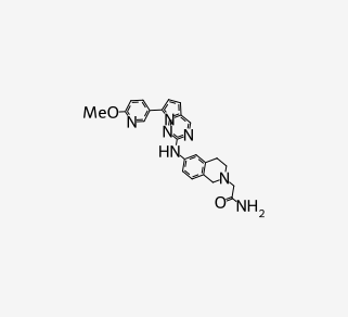 COc1ccc(-c2ccc3cnc(Nc4ccc5c(c4)CCN(CC(N)=O)C5)nn23)cn1